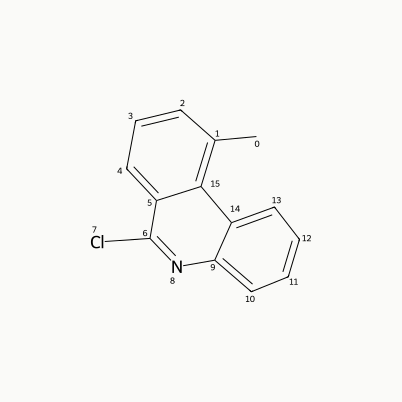 Cc1cccc2c(Cl)nc3ccccc3c12